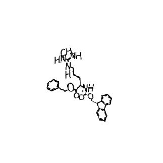 CNC(=N)NCCC[C@@H](NC(=O)OCC1c2ccccc2-c2ccccc21)C(=O)OCc1ccccc1